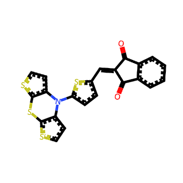 O=C1C(=Cc2ccc(N3c4ccsc4Sc4sccc43)s2)C(=O)c2ccccc21